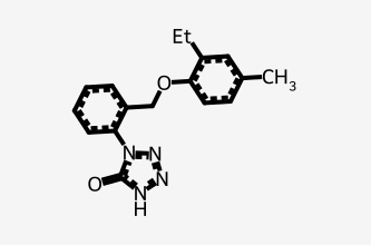 CCc1cc(C)ccc1OCc1ccccc1-n1nn[nH]c1=O